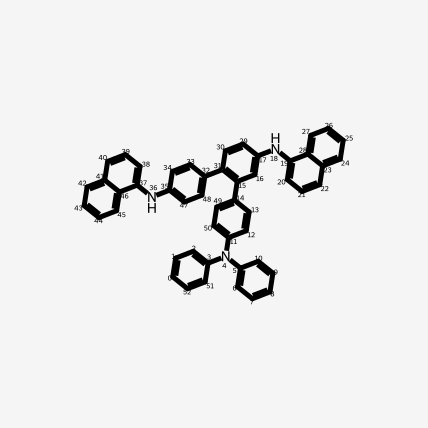 c1ccc(N(c2ccccc2)c2ccc(-c3cc(Nc4cccc5ccccc45)ccc3-c3ccc(Nc4cccc5ccccc45)cc3)cc2)cc1